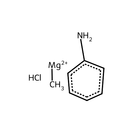 Cl.Nc1ccccc1.[CH3][Mg+2]